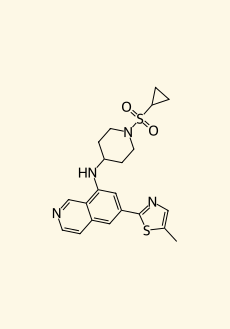 Cc1cnc(-c2cc(NC3CCN(S(=O)(=O)C4CC4)CC3)c3cnccc3c2)s1